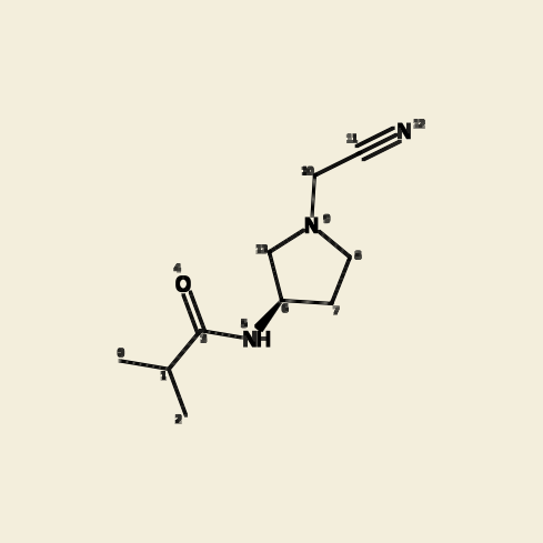 CC(C)C(=O)N[C@@H]1CCN(CC#N)C1